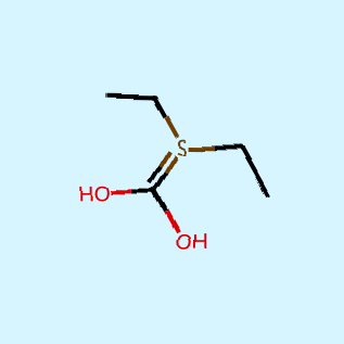 CCS(CC)=C(O)O